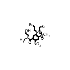 CN(CCO)C(=O)c1cc(N(CCBr)CCBr)c(S(C)(=O)=O)cc1[N+](=O)[O-]